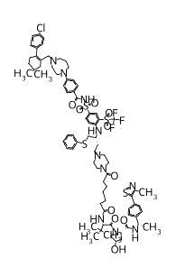 Cc1ncsc1-c1ccc([C@H](C)NC(=O)[C@@H]2C[C@@H](O)CN2C(=O)[C@@H](NC(=O)CCCCCC(=O)N2CCN(CC[C@H](CSc3ccccc3)Nc3ccc(S(=O)(=O)NC(=O)c4ccc(N5CCCN(CC6=C(c7ccc(Cl)cc7)CCC(C)(C)C6)CC5)cc4)cc3S(=O)(=O)C(F)(F)F)CC2)C(C)(C)C)cc1